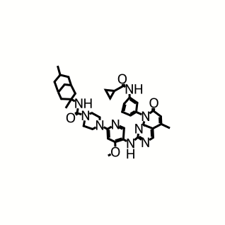 COc1cc(N2CCN(C(=O)NC3(C)CC4CC(C)CC(C4)C3)CC2)ncc1Nc1ncc2c(C)cc(=O)n(-c3cccc(NC(=O)C4CC4)c3)c2n1